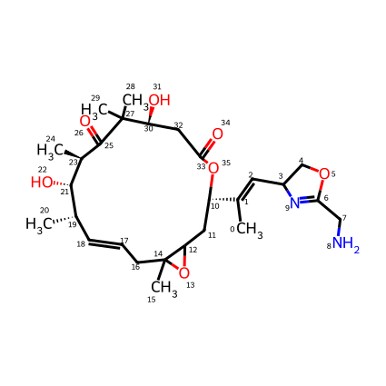 C/C(=C\C1COC(CN)=N1)[C@@H]1CC2OC2(C)C/C=C/[C@H](C)[C@H](O)[C@@H](C)C(=O)C(C)(C)[C@@H](O)CC(=O)O1